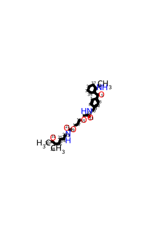 CNC1=C(C(=O)c2ccc(CNC(=O)COCCCOC(=O)NCCCCC(C)C(C)=O)cc2)CCCC1